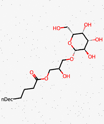 CCCCCCCCCCCCCC(=O)OCC(O)CO[C@@H]1O[C@H](CO)[C@H](O)[C@H](O)[C@H]1O